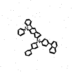 c1ccc(-c2ccc(N(c3ccc(-c4cccc5ccccc45)cc3)c3ccc4cc5c6ccccc6n(-c6ccccc6)c5cc4c3)cc2)cc1